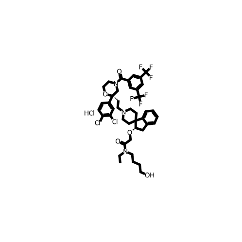 CCN(CCCCO)C(=O)CO[C@H]1Cc2ccccc2C12CCN(CC[C@@]1(c3ccc(Cl)c(Cl)c3)CN(C(=O)c3cc(C(F)(F)F)cc(C(F)(F)F)c3)CCO1)CC2.Cl